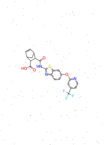 O=C(O)C1C2C=CC(C2)C1C(=O)Nc1nc2ccc(Oc3cc(C(F)(F)F)ccn3)cc2s1